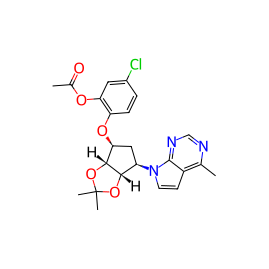 CC(=O)Oc1cc(Cl)ccc1O[C@H]1C[C@@H](n2ccc3c(C)ncnc32)[C@@H]2OC(C)(C)O[C@@H]21